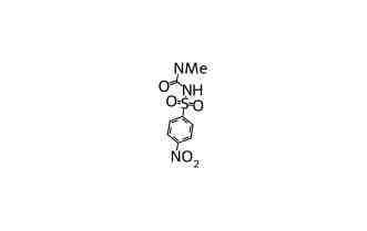 CNC(=O)NS(=O)(=O)c1ccc([N+](=O)[O-])cc1